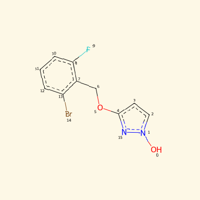 On1ccc(OCc2c(F)cccc2Br)n1